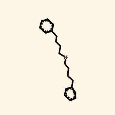 c1ccc(CCCC[N]CCCCc2ccccc2)cc1